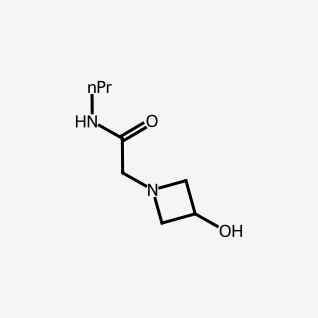 CCCNC(=O)CN1CC(O)C1